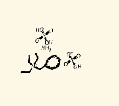 CC[N+](CC)(CC)Cc1ccccc1.N.O=S(=O)(O)O.O=S(=O)([O-])O